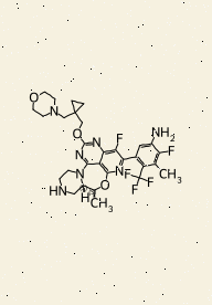 Cc1c(F)c(N)cc(-c2nc3c4c(nc(OCC5(CN6CCOCC6)CC5)nc4c2F)N2CCNC[C@H]2[C@H](C)O3)c1C(F)(F)F